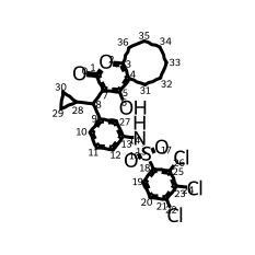 O=c1oc2c(c(O)c1C(c1cccc(NS(=O)(=O)c3ccc(Cl)c(Cl)c3Cl)c1)C1CC1)CCCCCC2